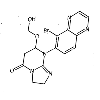 O=C1CC(OCO)N(c2ccc3nccnc3c2Br)C2=NCCN12